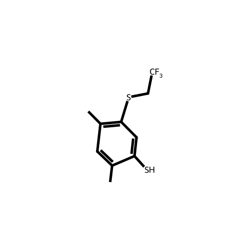 Cc1cc(C)c(SCC(F)(F)F)cc1S